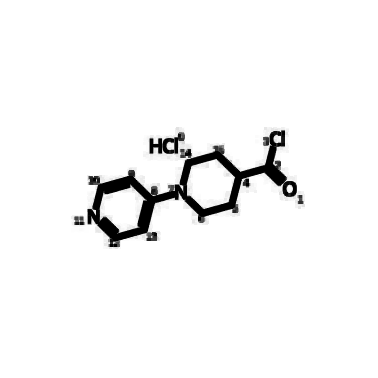 Cl.O=C(Cl)C1CCN(c2ccncc2)CC1